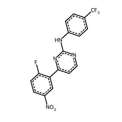 O=[N+]([O-])c1ccc(F)c(-c2ccnc(Nc3ccc(C(F)(F)F)cc3)n2)c1